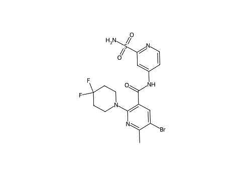 Cc1nc(N2CCC(F)(F)CC2)c(C(=O)Nc2ccnc(S(N)(=O)=O)c2)cc1Br